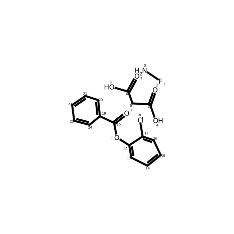 NF.O=C(O)CC(=O)O.O=C(Oc1ccccc1Cl)c1ccccc1